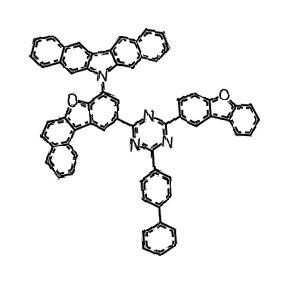 c1ccc(-c2ccc(-c3nc(-c4ccc5oc6ccccc6c5c4)nc(-c4cc(-n5c6cc7ccccc7cc6c6cc7ccccc7cc65)c5oc6ccc7ccccc7c6c5c4)n3)cc2)cc1